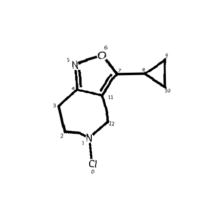 ClN1CCc2noc(C3CC3)c2C1